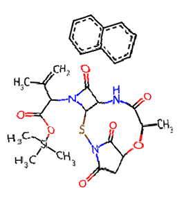 C=C(C)C(C(=O)O[Si](C)(C)C)N1C(=O)C2NC(=O)C(C)OC3CC(=O)N(SC21)C3=O.c1ccc2ccccc2c1